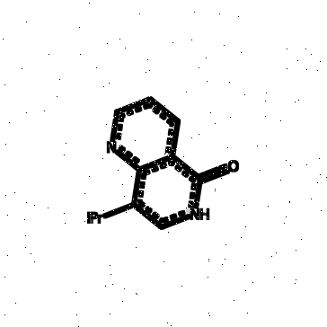 CC(C)c1c[nH]c(=O)c2cccnc12